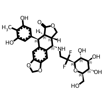 Cc1c(O)cc([C@@H]2c3cc4c(cc3[C@@H](NCC(F)(F)[C@@H]3O[C@H](CO)[C@@H](O)[C@H](O)[C@H]3O)[C@H]3COC(=O)[C@H]23)OCO4)cc1O